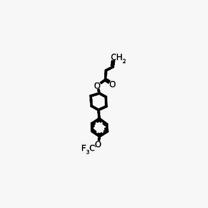 C=CCC(=O)OC1CCC(c2ccc(OC(F)(F)F)cc2)CC1